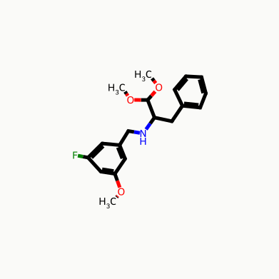 COc1cc(F)cc(CNC(Cc2ccccc2)C(OC)OC)c1